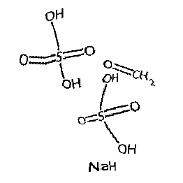 C=O.O=S(=O)(O)O.O=S(=O)(O)O.[NaH]